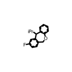 CC(C)C1c2cc(F)ccc2COc2ccccc21